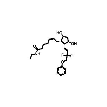 CCNC(=O)CCC/C=C\C[C@@H]1[C@@H](/C=C/C(F)(F)COc2ccccc2)[C@H](O)C[C@@H]1O